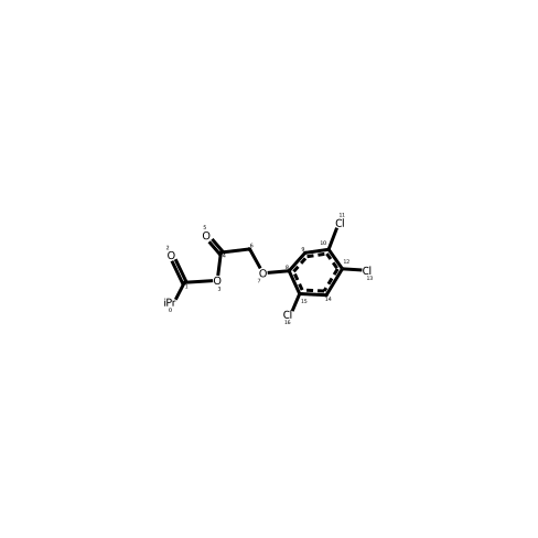 [CH2]C(C)C(=O)OC(=O)COc1cc(Cl)c(Cl)cc1Cl